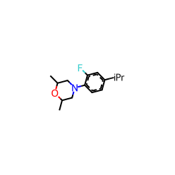 CC1CN(c2ccc(C(C)C)cc2F)CC(C)O1